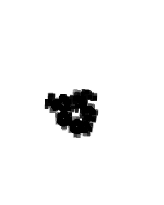 CC(C)(C)[S+]([O-])N[C@H](c1cccc(-c2ccc3cnn(-c4nccc(CO[Si](C)(C)C(C)(C)C)n4)c3c2)n1)C1CC(F)(F)C1